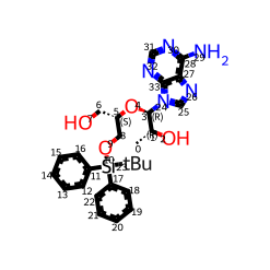 C[C@@H](O)[C@@H](O[C@@H](CO)CO[Si](c1ccccc1)(c1ccccc1)C(C)(C)C)n1cnc2c(N)ncnc21